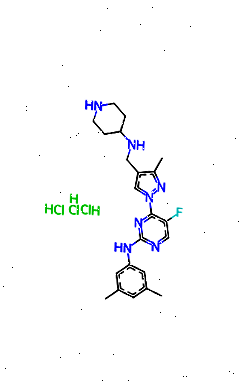 Cc1cc(C)cc(Nc2ncc(F)c(-n3cc(CNC4CCNCC4)c(C)n3)n2)c1.Cl.Cl.Cl